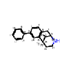 CC1C2Cc3ccc(-c4ccccc4)cc3[C@]1(C)CCN2